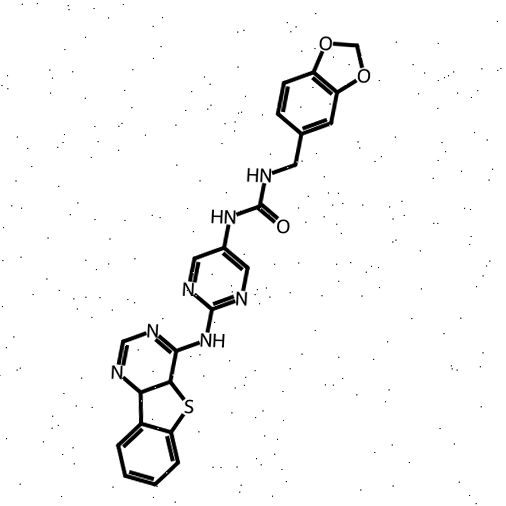 O=C(NCc1ccc2c(c1)OCO2)Nc1cnc(NC2=NC=NC3c4ccccc4SC23)nc1